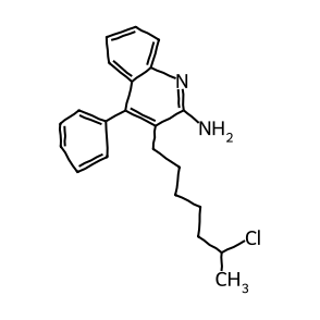 CC(Cl)CCCCCc1c(N)nc2ccccc2c1-c1ccccc1